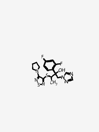 CC(Sc1nsnc1N1CCCC1)C(O)(Cn1cncn1)c1ccc(F)cc1F